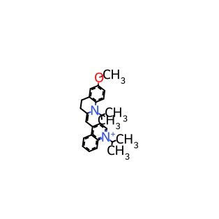 COc1ccc2c(c1)CC/C(=C/c1cc[n+](C(C)C)c3ccccc13)N2C(C)C